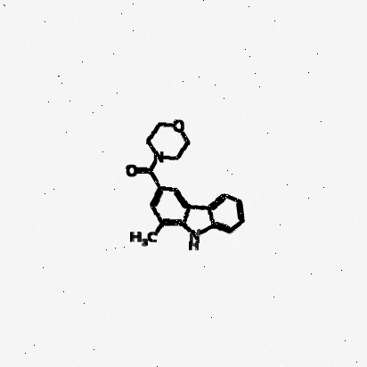 Cc1cc(C(=O)N2CCOCC2)cc2c1[nH]c1ccccc12